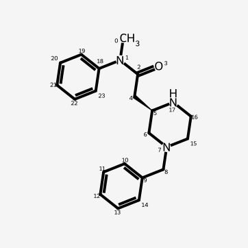 CN(C(=O)C[C@@H]1CN(Cc2ccccc2)CCN1)c1ccccc1